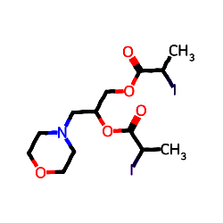 CC(I)C(=O)OCC(CN1CCOCC1)OC(=O)C(C)I